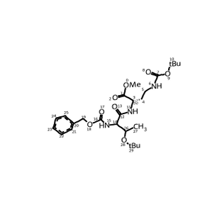 COC(=O)[C@H](CCNC(=O)OC(C)(C)C)NC(=O)C(NC(=O)OCc1ccccc1)C(C)OC(C)(C)C